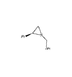 CCCCN1C[C@@H]1C(C)C